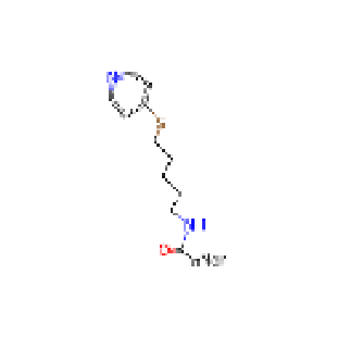 CCCCCCCCCC(=O)NCCCCCSc1ccncc1